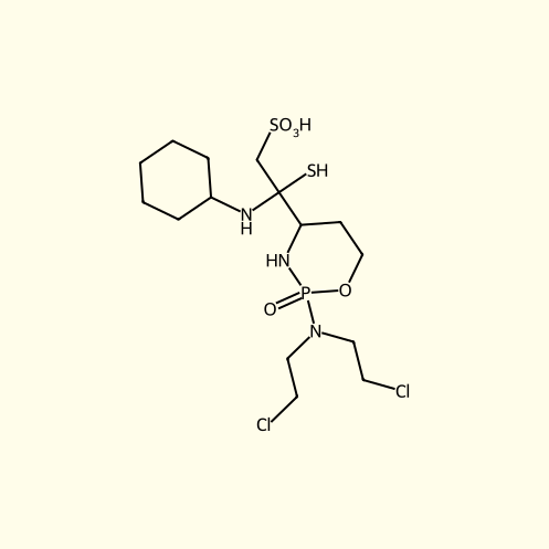 O=P1(N(CCCl)CCCl)NC(C(S)(CS(=O)(=O)O)NC2CCCCC2)CCO1